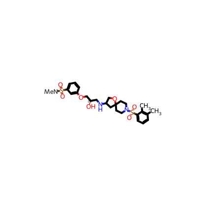 CNS(=O)(=O)c1cccc(OC[C@@H](O)CNC2COC3(CCN(S(=O)(=O)c4cccc(C)c4C)CC3)C2)c1